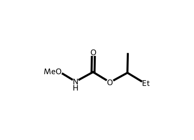 CCC(C)OC(=O)NOC